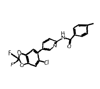 Cc1ccc(C(=O)Nc2ccc(-c3cc4c(cc3Cl)OC(F)(F)O4)cn2)cc1